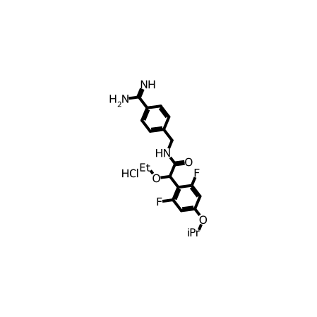 CCOC(C(=O)NCc1ccc(C(=N)N)cc1)c1c(F)cc(OC(C)C)cc1F.Cl